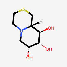 O[C@H]1[C@H](O)[C@H]2CSCCN2C[C@H]1O